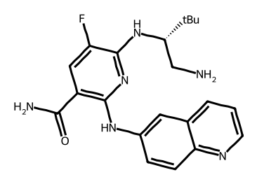 CC(C)(C)[C@H](CN)Nc1nc(Nc2ccc3ncccc3c2)c(C(N)=O)cc1F